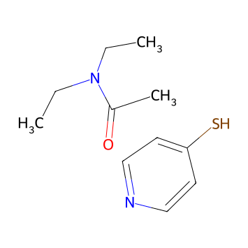 CCN(CC)C(C)=O.Sc1ccncc1